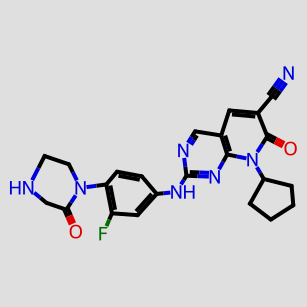 N#Cc1cc2cnc(Nc3ccc(N4CCNCC4=O)c(F)c3)nc2n(C2CCCC2)c1=O